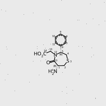 N[C@H]1CSC[C@@H](c2ccccc2)N(CC(=O)O)C1=O